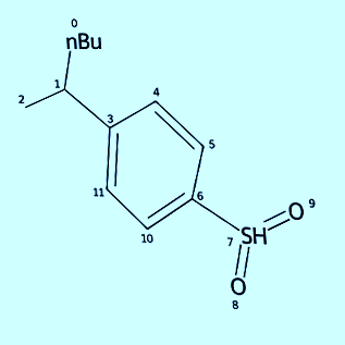 CCCCC(C)c1ccc([SH](=O)=O)cc1